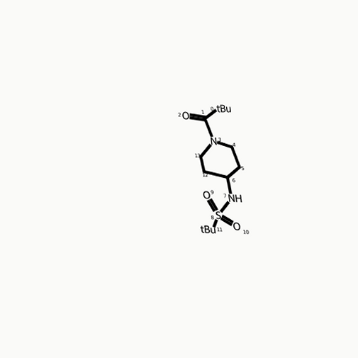 CC(C)(C)C(=O)N1CCC(NS(=O)(=O)C(C)(C)C)CC1